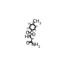 Cc1ccc(S(=O)(=O)NCC(N)=O)cc1